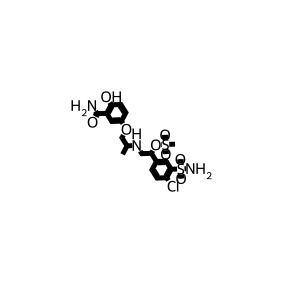 CC(COc1ccc(O)c(C(N)=O)c1)NCC(OS(C)(=O)=O)c1ccc(Cl)c(S(N)(=O)=O)c1